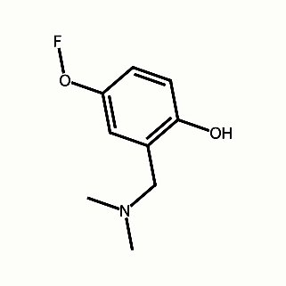 CN(C)Cc1cc(OF)ccc1O